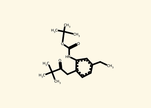 CCc1ccc(CC(=O)C(C)(C)C)c(NC(=O)OC(C)(C)C)c1